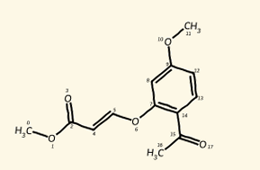 COC(=O)C=COc1cc(OC)ccc1C(C)=O